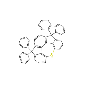 c1ccc(C2(c3ccccc3)c3cccc4c3-c3c2ccc2c3-c3c(cccc3C2(c2ccccc2)c2ccccc2)S4)cc1